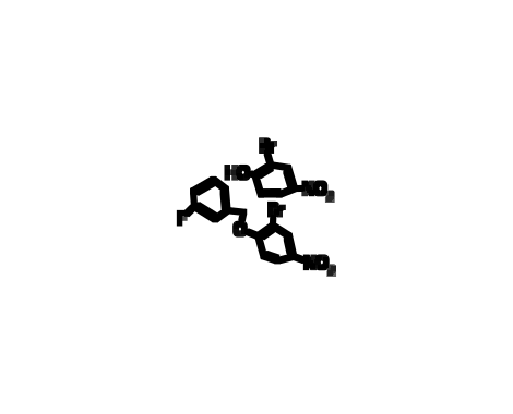 O=[N+]([O-])c1ccc(O)c(Br)c1.O=[N+]([O-])c1ccc(OCc2cccc(F)c2)c(Br)c1